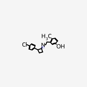 Cc1ccc(O)cc1CC/N=C1\CCC1c1ccc(Cl)cc1